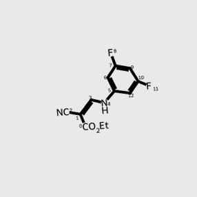 CCOC(=O)/C(C#N)=C\Nc1cc(F)cc(F)c1